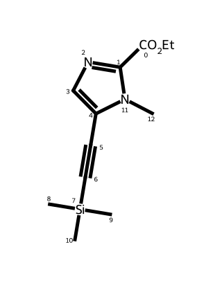 CCOC(=O)c1ncc(C#C[Si](C)(C)C)n1C